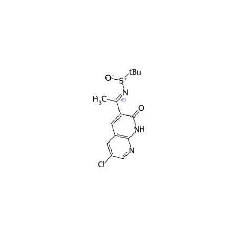 C/C(=N\[S+]([O-])C(C)(C)C)c1cc2cc(Cl)cnc2[nH]c1=O